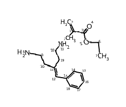 C=C(C)C(=O)OCC.NCCC(=Cc1ccccc1)CCN